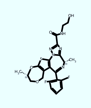 C[C@@H]1N=C(c2c(F)cccc2F)c2c(sc3c2COC[C@H](C)O3)-n2nc(C(=O)NCCO)nc21